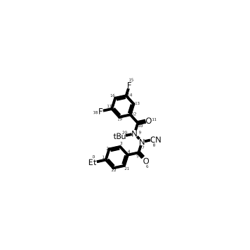 CCc1ccc(C(=O)N(C#N)N(C(=O)c2cc(F)cc(F)c2)C(C)(C)C)cc1